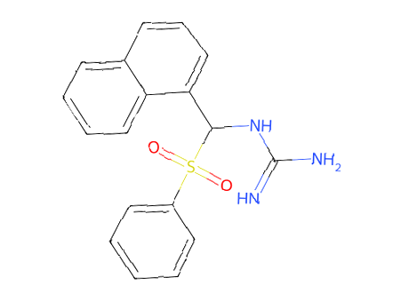 N=C(N)NC(c1cccc2ccccc12)S(=O)(=O)c1ccccc1